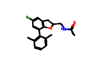 CC(=O)NCC1Cc2cc(F)cc(-c3c(C)cccc3C)c2O1